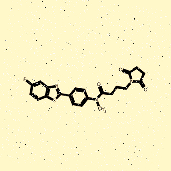 CN(C(=O)CCCN1C(=O)CCC1=O)c1ccc(-c2nc3cc(F)ccc3s2)cc1